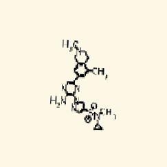 Cc1cc(-c2cnc(N)c(-n3cc(S(=O)(=O)N(C)C4CC4)cn3)n2)cc2c1CCN(C)C2